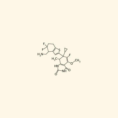 COC1=C(F)C(c2cc3c(s2)CCC(F)(F)C3CN)(C2CC2)C(C)c2[nH]c(=O)[nH]c(=O)c21